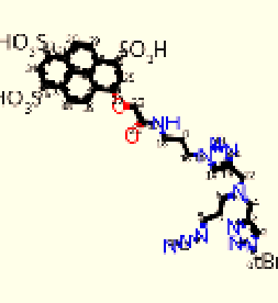 CC(C)(C)n1cc(CN(CCCN=[N+]=[N-])Cc2cn(CCCNC(=O)COc3cc(S(=O)(=O)O)c4ccc5c(S(=O)(=O)O)cc(S(=O)(=O)O)c6ccc3c4c65)nn2)nn1